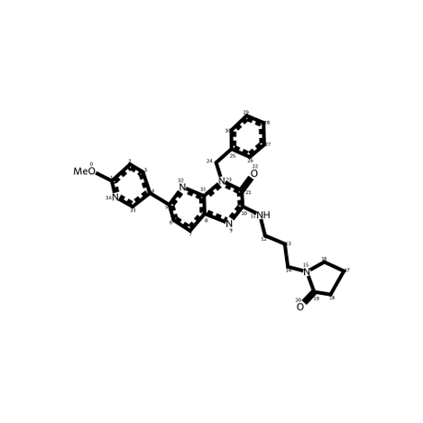 COc1ccc(-c2ccc3nc(NCCCN4CCCC4=O)c(=O)n(Cc4ccccc4)c3n2)cn1